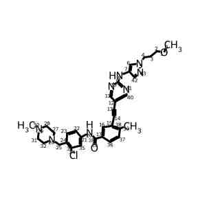 COCCCn1cc(Nc2ncc(C#Cc3cc(C(=O)Nc4ccc(CN5CCN(C)CC5)c(Cl)c4)ccc3C)cn2)cn1